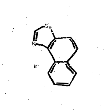 [Ir].c1ccc2c(c1)ccc1[se]cnc12